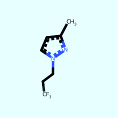 Cc1ccn(CCC(F)(F)F)n1